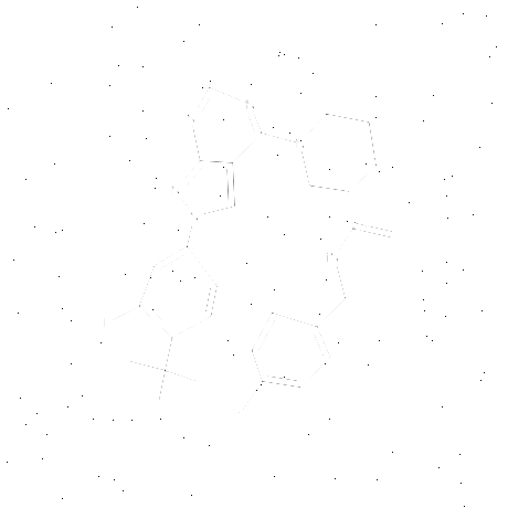 O=C(NCc1ccc(Br)cc1)[C@H]1CCCN(c2ncnc3nn(-c4ccc(C(F)(F)F)c(F)c4)cc23)C1